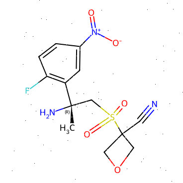 C[C@](N)(CS(=O)(=O)C1(C#N)COC1)c1cc([N+](=O)[O-])ccc1F